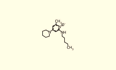 CCCCCNc1cc(N2CCCCC2)cc(C)[n+]1[O-]